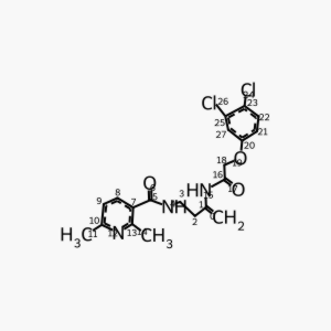 C=C(CCNC(=O)c1ccc(C)nc1C)NC(=O)COc1ccc(Cl)c(Cl)c1